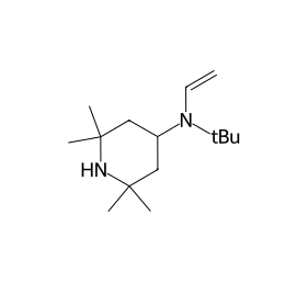 C=CN(C1CC(C)(C)NC(C)(C)C1)C(C)(C)C